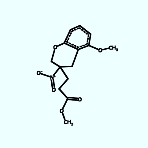 COC(=O)CCC1([N+](=O)[O-])COc2cccc(OC)c2C1